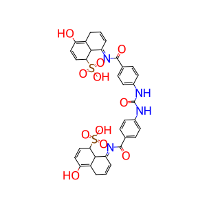 O=C(Nc1ccc(C(=O)N=C2C=CCC3=C(O)C=CC(S(=O)(=O)O)C23)cc1)Nc1ccc(C(=O)N=C2C=CCC3=C(O)C=CC(S(=O)(=O)O)C23)cc1